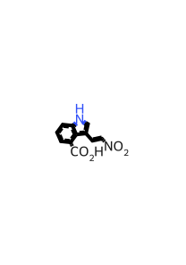 O=C(O)c1cccc2[nH]cc(/C=C/[N+](=O)[O-])c12